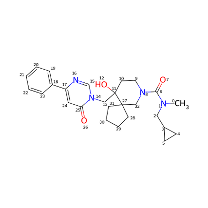 CN(CC1CC1)C(=O)N1CCC(O)(Cn2cnc(-c3ccccc3)cc2=O)C2(CCCC2)C1